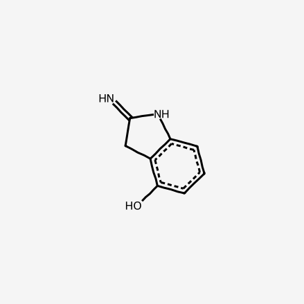 N=C1Cc2c(O)cccc2N1